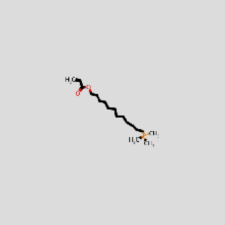 C=CC(=O)OCCCCCCCCCCCC[P+](C)(C)C